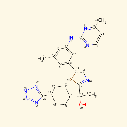 Cc1cc(Nc2nccc(C)n2)cc(-c2cnc(C(C)(O)C3CCC(c4nn[nH]n4)CC3)s2)c1